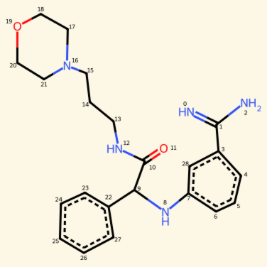 N=C(N)c1cccc(NC(C(=O)NCCCN2CCOCC2)c2ccccc2)c1